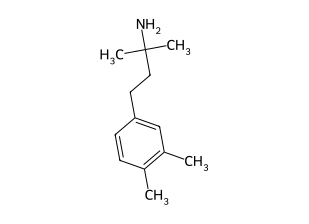 Cc1ccc(CCC(C)(C)N)cc1C